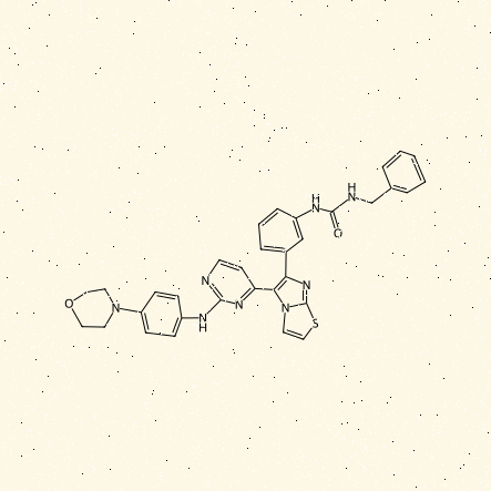 O=C(NCc1ccccc1)Nc1cccc(-c2nc3sccn3c2-c2ccnc(Nc3ccc(N4CCOCC4)cc3)n2)c1